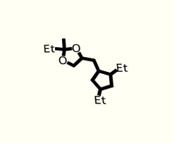 CCC1CC(CC)C(CC2COC(C)(CC)O2)C1